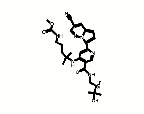 COC(=O)NCCCC(C)(C)Nc1cc(-c2ccc3cc(C#N)cnn23)ncc1C(=O)NC[C@@H](F)C(C)(C)O